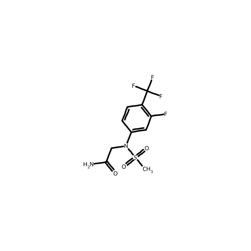 CS(=O)(=O)N(CC(N)=O)c1ccc(C(F)(F)F)c(F)c1